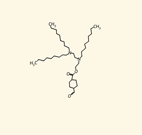 CCCCCCCCCN(CCCCCCCCC)CCN(CCCCCCCCC)CCOC(=O)C1CCC(C=O)CC1